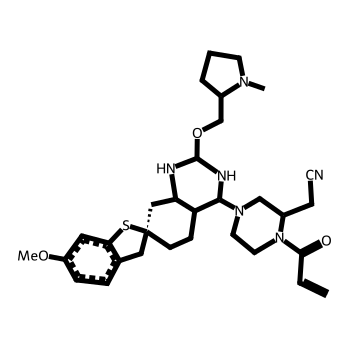 C=CC(=O)N1CCN(C2NC(OCC3CCCN3C)NC3C[C@]4(CCC32)Cc2ccc(OC)cc2S4)CC1CC#N